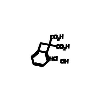 Cl.Cl.O=C(O)C1(C(=O)O)Cc2ccccc21